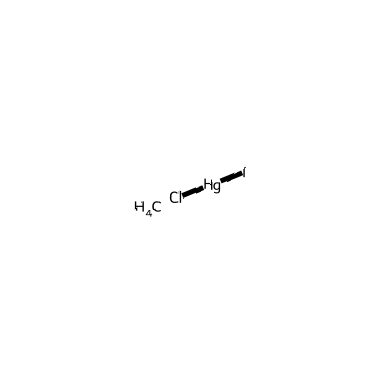 C.[Cl][Hg][I]